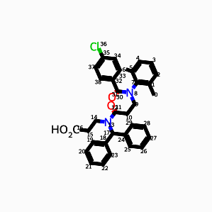 Cc1cccc(C)c1N(CCC(=O)N(CCC(=O)O)C(c1ccccc1)c1ccccc1)C(=O)c1ccc(Cl)cc1